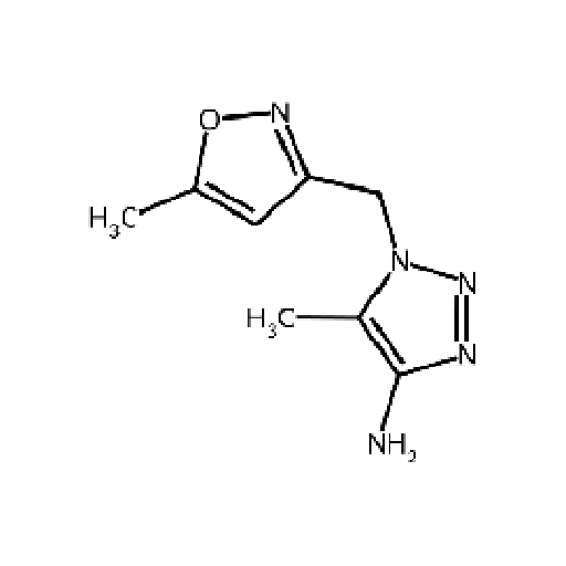 Cc1cc(Cn2nnc(N)c2C)no1